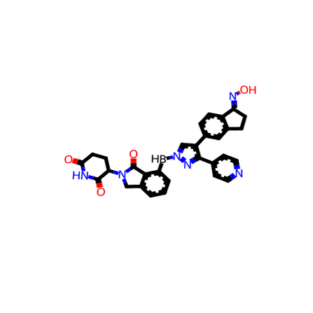 O=C1CCC(N2Cc3cccc(Bn4cc(-c5ccc6c(c5)CC/C6=N\O)c(-c5ccncc5)n4)c3C2=O)C(=O)N1